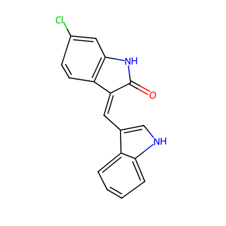 O=C1Nc2cc(Cl)ccc2C1=Cc1c[nH]c2ccccc12